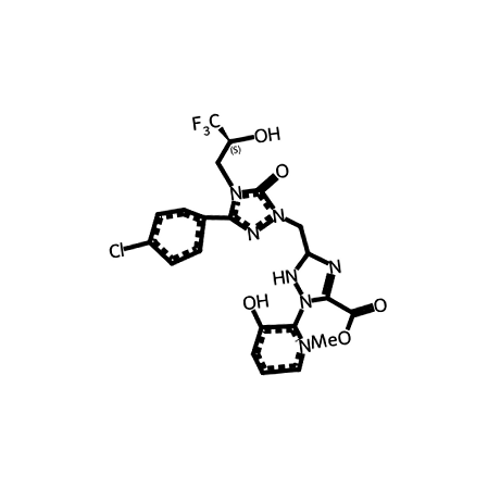 COC(=O)C1=NC(Cn2nc(-c3ccc(Cl)cc3)n(C[C@H](O)C(F)(F)F)c2=O)NN1c1ncccc1O